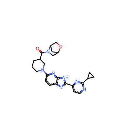 O=C(C1CCCN(c2ccc3nc(-c4ccnc(C5CC5)n4)[nH]c3n2)C1)N1CC2CC1CO2